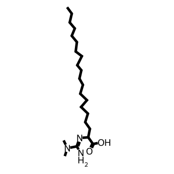 CCCCCCCCCCCCCCCCCCC(N=C(N)N(C)C)C(=O)O